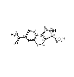 NC(=O)c1ccc2c(c1)CCc1c-2n[nH]c1C(=O)O